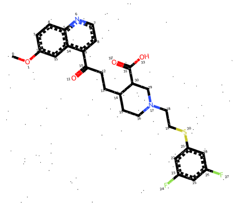 COc1ccc2nccc(C(=O)CCC3CCN(CCSc4cc(F)cc(F)c4)CC3C(=O)O)c2c1